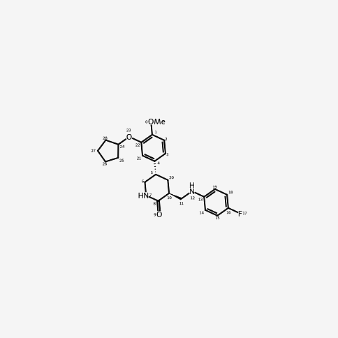 COc1ccc([C@H]2CNC(=O)[C@H](CNc3ccc(F)cc3)C2)cc1OC1CCCC1